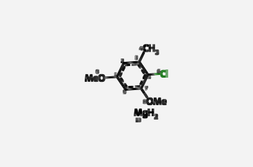 COc1cc(C)c(Cl)c(OC)c1.[MgH2]